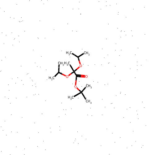 CC(C)OC(C)(OC(C)C)C(=O)OC(C)(C)C